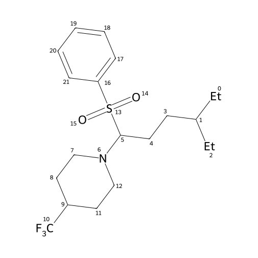 CCC(CC)CCC(N1CCC(C(F)(F)F)CC1)S(=O)(=O)c1ccccc1